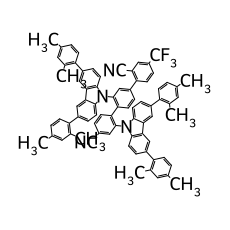 Cc1ccc(-c2ccc3c(c2)c2cc(-c4ccc(C)cc4C)ccc2n3-c2cc(C#N)ccc2-c2ccc(-c3ccc(C(F)(F)F)cc3C#N)cc2-n2c3ccc(-c4ccc(C)cc4C)cc3c3cc(-c4ccc(C)cc4C)ccc32)c(C)c1